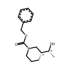 C[C@@H](O)[C@@H]1CCCN(C(=O)OCc2ccccc2)C1